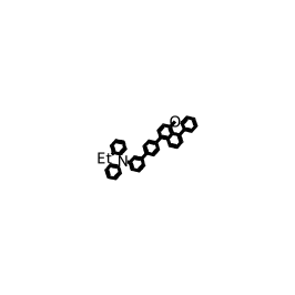 CCc1ccccc1N(c1ccccc1)c1cccc(-c2ccc(-c3ccc4c5c(cccc35)-c3ccccc3O4)cc2)c1